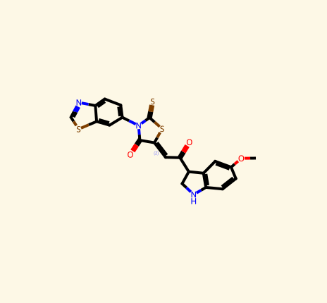 COc1ccc2c(c1)C(C(=O)/C=C1\SC(=S)N(c3ccc4ncsc4c3)C1=O)CN2